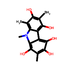 Bc1c(O)c(B)c2c(c1O)c1c(O)c(O)c(C)c(O)c1n2C